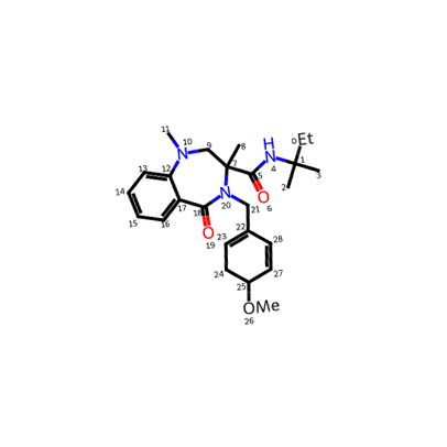 CCC(C)(C)NC(=O)C1(C)CN(C)c2ccccc2C(=O)N1CC1=CCC(OC)C=C1